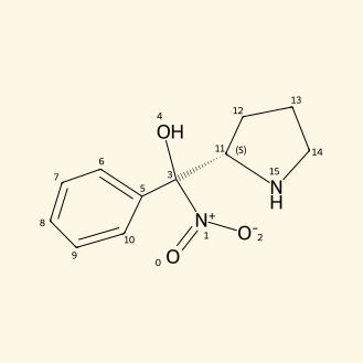 O=[N+]([O-])C(O)(c1ccccc1)[C@@H]1CCCN1